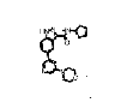 O=C(NC1CCCC1)c1n[nH]c2ccc(-c3cncc(N4CCOCC4)c3)cc12